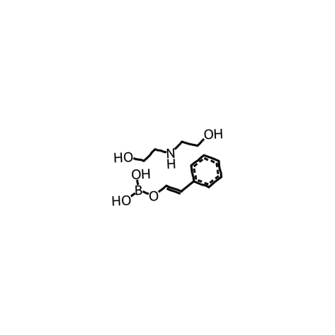 OB(O)OC=Cc1ccccc1.OCCNCCO